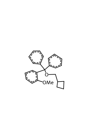 COc1ccccc1C(OCC1CCC1)(c1ccccc1)c1ccccc1